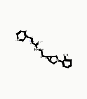 Cc1ccccc1N1CC2C(CCNC(=O)/C=C/c3cccnc3)C2C1